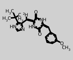 [2H]C(c1nc[nH]c1C(C)(C)C)=c1[nH]c(=O)c(=Cc2cccc(OC)c2)[nH]c1=O